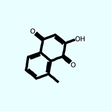 Cc1cccc2c1C(=O)C(O)=CC2=O